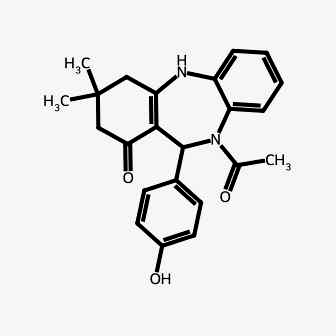 CC(=O)N1c2ccccc2NC2=C(C(=O)CC(C)(C)C2)C1c1ccc(O)cc1